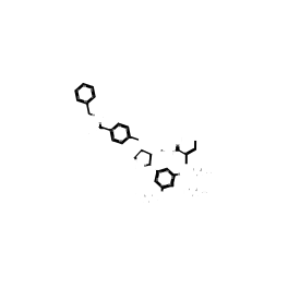 C/C=C(/C)C(=O)OC[C@H]1[C@@H](Cc2ccc(C(=O)OCc3ccccc3)cc2)CO[C@@H]1c1cc(OC)c(OC)c(OC)c1